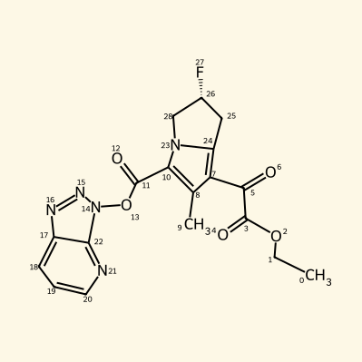 CCOC(=O)C(=O)c1c(C)c(C(=O)On2nnc3cccnc32)n2c1C[C@@H](F)C2